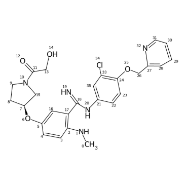 CNc1ccc(O[C@H]2CCN(C(=O)CO)C2)cc1C(=N)Nc1ccc(OCc2ccccn2)c(Cl)c1